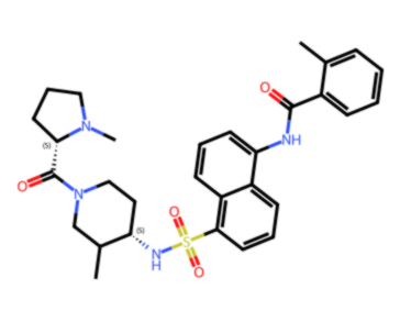 Cc1ccccc1C(=O)Nc1cccc2c(S(=O)(=O)N[C@H]3CCN(C(=O)[C@@H]4CCCN4C)CC3C)cccc12